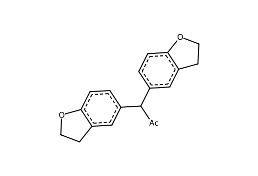 CC(=O)C(c1ccc2c(c1)CCO2)c1ccc2c(c1)CCO2